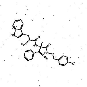 CC(NC(=O)[C@@H](N)Cc1c[nH]c2ccccc12)(C(=O)NOCc1ccc(Cl)cc1)C(=C=O)c1ccccc1